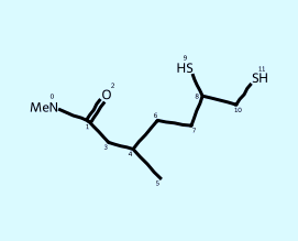 CNC(=O)CC(C)CCC(S)CS